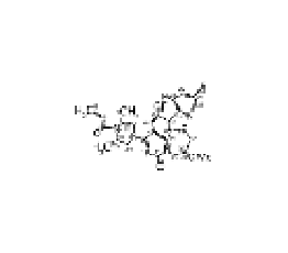 C=CC(=O)N1[C@H](C)CN(c2nc(=O)n3c4c(c(-c5ncc(F)cc5F)c(C(F)(F)F)cc24)SC[C@@H](OC)C3)C[C@@H]1C